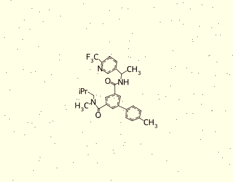 Cc1ccc(-c2cc(C(=O)NC(C)c3ccc(C(F)(F)F)nc3)cc(C(=O)N(C)CC(C)C)c2)cc1